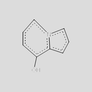 Oc1cccn2cccc12